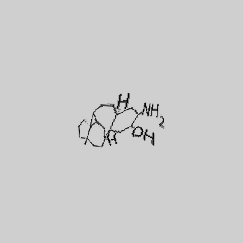 C[C@]12CC(O)C(N)C[C@@H]1CCC1C3C[C@@H]2CC[C@]2(C)CCC[C@]132